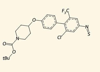 CC(C)(C)OC(=O)N1CCC(Oc2ccc(-c3c(Cl)cc(N=S)cc3C(F)(F)F)cc2)CC1